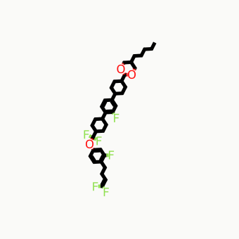 CCCCCC1COC(C2CCC(c3ccc(C4CCC(C(F)(F)Oc5ccc(CCC=C(F)F)c(F)c5)CC4)c(F)c3)CC2)OC1